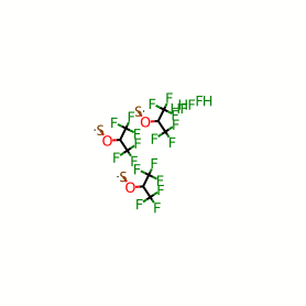 F.F.F.FC(F)(F)C(O[S])C(F)(F)F.FC(F)(F)C(O[S])C(F)(F)F.FC(F)(F)C(O[S])C(F)(F)F